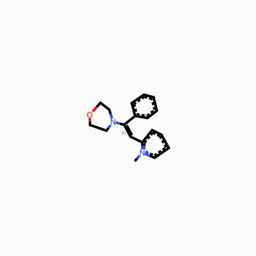 C[n+]1ccccc1/C=C(\c1ccccc1)N1CCOCC1